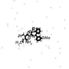 C=CC[C@H](C(N)=O)[C@@H](CC(C)C)C(=O)NC1N=C(c2cccc(OC)c2)c2ccccc2N(C)C1=O